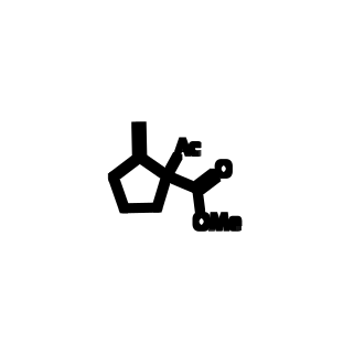 C=C1CCCC1(C(C)=O)C(=O)OC